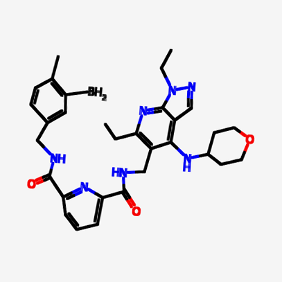 Bc1cc(CNC(=O)c2cccc(C(=O)NCc3c(CC)nc4c(cnn4CC)c3NC3CCOCC3)n2)ccc1C